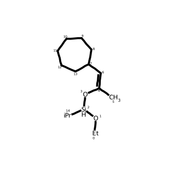 CCO[SiH](OC(C)=CC1CCCCCC1)C(C)C